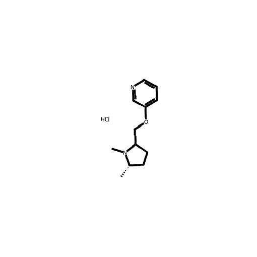 C[C@H]1CCC(COc2cccnc2)N1C.Cl